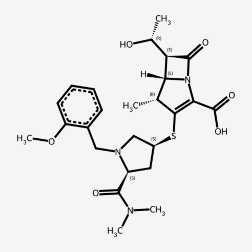 COc1ccccc1CN1C[C@@H](SC2=C(C(=O)O)N3C(=O)[C@H]([C@@H](C)O)[C@H]3[C@H]2C)C[C@H]1C(=O)N(C)C